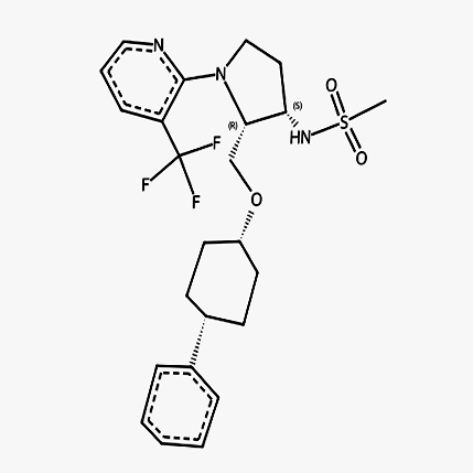 CS(=O)(=O)N[C@H]1CCN(c2ncccc2C(F)(F)F)[C@H]1CO[C@H]1CC[C@@H](c2ccccc2)CC1